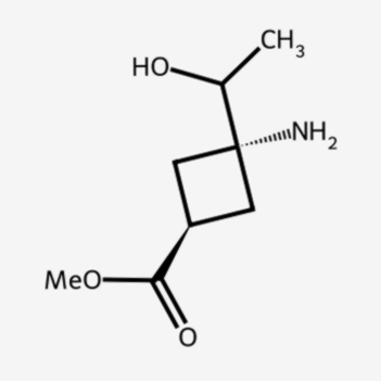 COC(=O)[C@H]1C[C@@](N)(C(C)O)C1